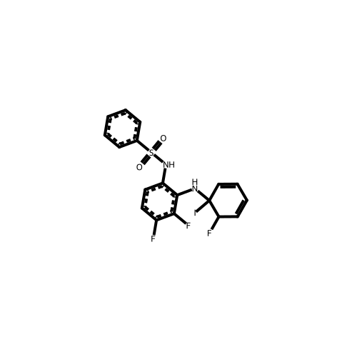 O=S(=O)(Nc1ccc(F)c(F)c1NC1(I)C=CC=CC1F)c1ccccc1